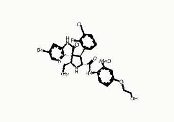 COc1cc(OCCO)ccc1NC(=O)[C@@H]1N[C@@H](CC(C)(C)C)[C@@]2(C(=O)Nc3cc(Br)cnc32)[C@H]1c1cccc(Cl)c1F